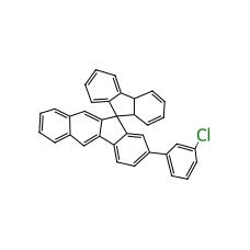 Clc1cccc(-c2ccc3c(c2)C2(c4cc5ccccc5cc4-3)c3ccccc3C3C=CC=CC32)c1